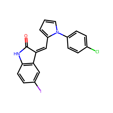 O=C1Nc2ccc(I)cc2C1=Cc1cccn1-c1ccc(Cl)cc1